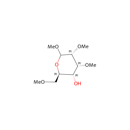 COC[C@H]1OC(OC)[C@H](OC)[C@H](OC)[C@@H]1O